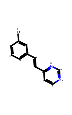 CCc1[c]c(C=Cc2ccncn2)ccc1